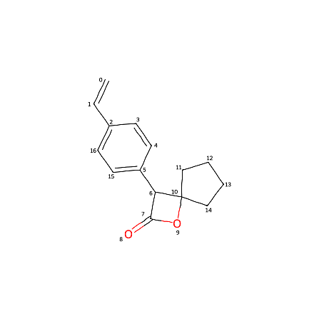 C=Cc1ccc(C2C(=O)OC23CCCC3)cc1